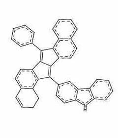 C1=Cc2ccc3c(c2CC1)C(c1ccc2[nH]c4ccccc4c2c1)=C1C3=C(c2ccccc2)c2c1ccc1ccccc21